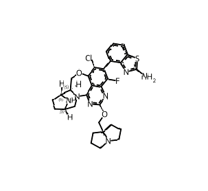 Nc1nc2c(-c3c(Cl)c4c5c(nc(OCC67CCCN6CCC7)nc5c3F)N3C[C@@H]5CC[C@@H](N5)[C@H]3CO4)cccc2s1